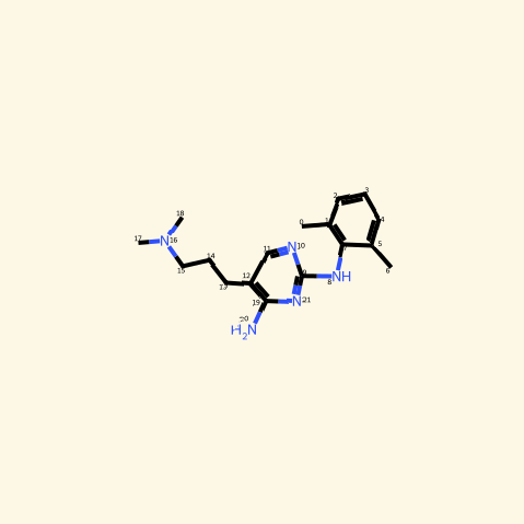 Cc1cccc(C)c1Nc1ncc(CCCN(C)C)c(N)n1